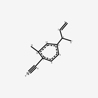 [CH2]C(C=C)c1ccc(C#N)c(C)c1